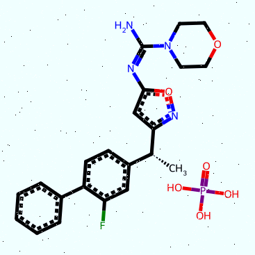 C[C@H](c1ccc(-c2ccccc2)c(F)c1)c1cc(/N=C(/N)N2CCOCC2)on1.O=P(O)(O)O